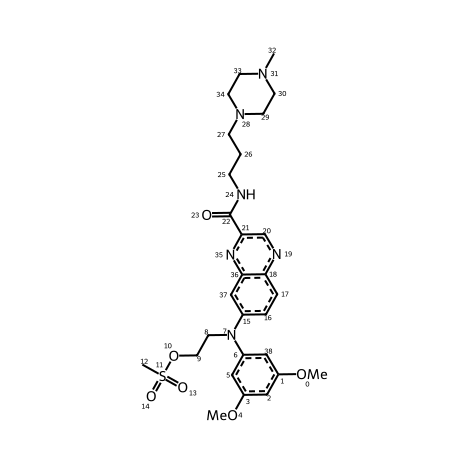 COc1cc(OC)cc(N(CCOS(C)(=O)=O)c2ccc3ncc(C(=O)NCCCN4CCN(C)CC4)nc3c2)c1